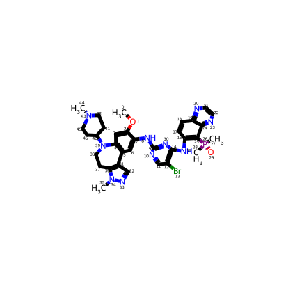 COc1cc2c(cc1Nc1ncc(Br)c(Nc3ccc4nccnc4c3P(C)(C)=O)n1)-c1cnn(C)c1CCN2C1CCN(C)CC1